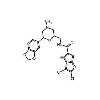 CN1CC(CNC(=O)c2cc3sc(Cl)c(Cl)c3[nH]2)OC(c2ccc3c(c2)OCO3)C1